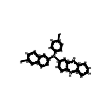 Cc1ccc(N(c2ccc3cc(C)ccc3c2)c2ccc3nc4ccccc4nc3c2)cc1